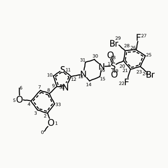 COc1cc(OC)cc(-c2csc(N3CCN(S(=O)(=O)c4c(F)c(Br)cc(F)c4Br)CC3)n2)c1